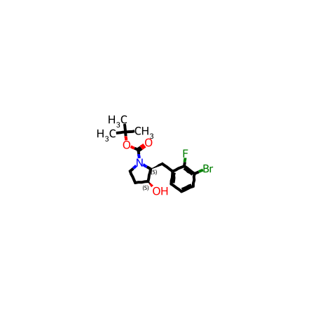 CC(C)(C)OC(=O)N1CC[C@H](O)[C@@H]1Cc1cccc(Br)c1F